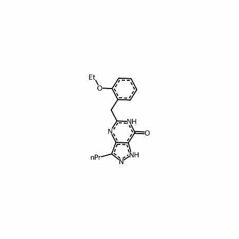 CCCc1n[nH]c2c(=O)[nH]c(Cc3ccccc3OCC)nc12